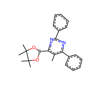 Cc1c(B2OC(C)(C)C(C)(C)O2)nc(-c2ccccc2)nc1-c1ccccc1